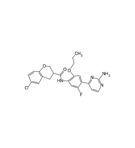 CCCOc1cc(-c2ccnc(N)n2)c(F)cc1NC(=O)C1COc2ccc(Cl)cc2C1